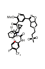 COc1ncc(C2=NOC3CN(CCS(C)(=O)=O)CC23)cc1C(=O)N[C@H]1[C@@H](C(=O)Nc2ccc(F)c(C(F)(F)F)c2)[C@H]2CC[C@@H]1/C2=C\C1CC1